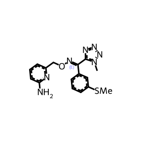 CSc1cccc(/C(=N\OCc2cccc(N)n2)c2nnnn2C)c1